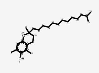 Cc1cc2c(c(C)c1O)CCC(C)(CCCCCCCCCCCC(C)C)O2